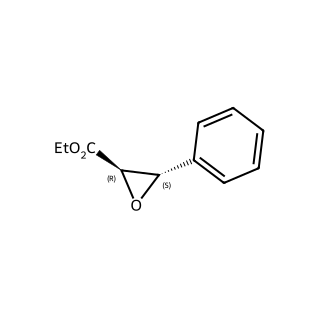 CCOC(=O)[C@@H]1O[C@H]1c1ccccc1